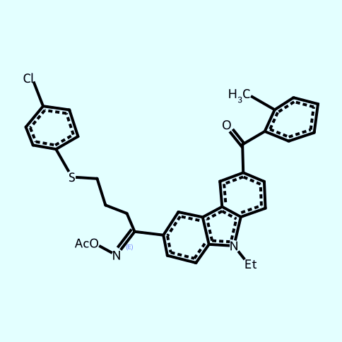 CCn1c2ccc(C(=O)c3ccccc3C)cc2c2cc(/C(CCCSc3ccc(Cl)cc3)=N/OC(C)=O)ccc21